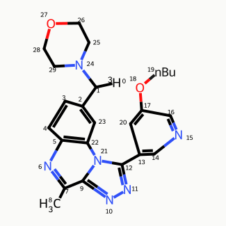 [3H]C(c1ccc2nc(C)c3nnc(-c4cncc(OCCCC)c4)n3c2c1)N1CCOCC1